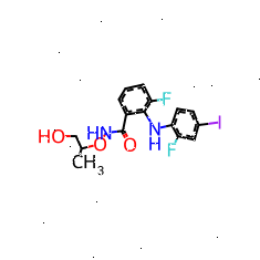 CC(CO)ONC(=O)c1cccc(F)c1Nc1ccc(I)cc1F